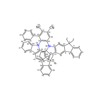 CC1(C)c2ccccc2-c2cc3c4ccccc4n(-c4cc(C#N)c(C#N)c(-c5ccccc5)c4-n4c5ccccc5c5cc6c(cc54)C(C)(C)c4ccccc4-6)c3cc21